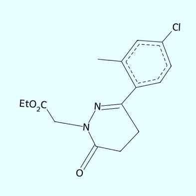 CCOC(=O)CN1N=C(c2ccc(Cl)cc2C)CCC1=O